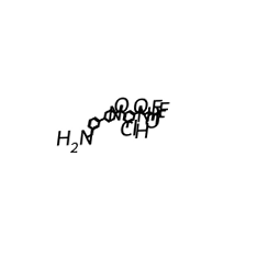 NCc1cccc(C2CCN(C(=O)c3cc(Cl)cc(C(=O)NCC(=O)C(F)(F)F)c3)CC2)c1